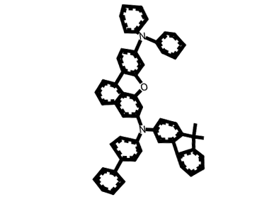 CC1(C)c2ccccc2-c2cc(N(c3ccc(-c4ccccc4)cc3)c3cc4c5c(cccc5c3)-c3ccc(N(c5ccccc5)c5ccccc5)cc3O4)ccc21